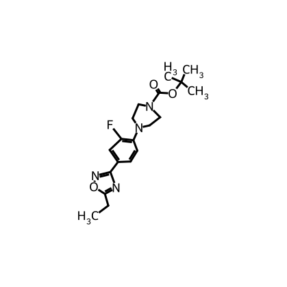 CCc1nc(-c2ccc(N3CCN(C(=O)OC(C)(C)C)CC3)c(F)c2)no1